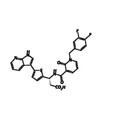 O=C(O)C[C@@H](NC(=O)c1cccn(Cc2ccc(F)c(F)c2)c1=O)c1ccc(-c2c[nH]c3ncccc23)s1